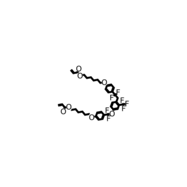 C=CC(=O)OCCCCCCOc1ccc(C(F)(F)Cc2ccc(OC(F)(F)c3ccc(OCCCCCCOC(=O)C=C)cc3)cc2C(F)(F)F)cc1